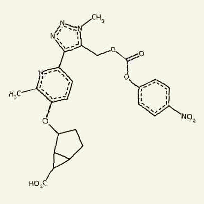 Cc1nc(-c2nnn(C)c2COC(=O)Oc2ccc([N+](=O)[O-])cc2)ccc1OC1CCC2C(C(=O)O)C12